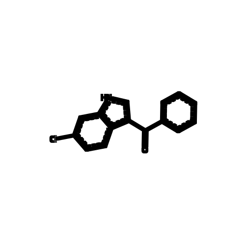 O=C(c1ccccc1)c1c[nH]c2cc(Cl)ccc12